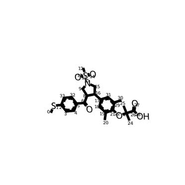 CSc1ccc(C(=O)C2CN(S(C)(=O)=O)CC2c2cc(C)c(OC(C)(C)C(=O)O)c(C)c2)cc1